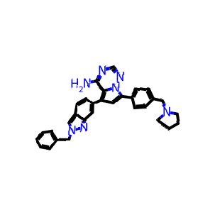 Nc1ncnn2c(-c3ccc(CN4CCCC4)cc3)cc(-c3ccc4cn(Cc5ccccc5)nc4c3)c12